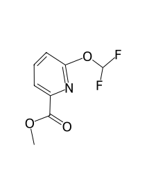 COC(=O)c1cccc(OC(F)F)n1